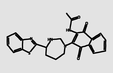 CC(=O)NC1=C(N2CCCC(c3nc4ccccc4s3)NC2)C(=O)c2ccccc2C1=O